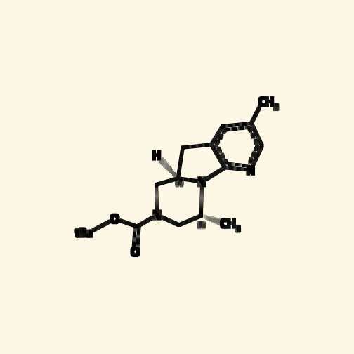 Cc1cnc2c(c1)C[C@@H]1CN(C(=O)OC(C)(C)C)C[C@@H](C)N21